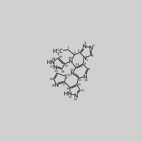 CCC1c2nncn2-c2cnc(-c3cn[nH]c3-c3nccs3)nc2N1c1cn[nH]c1